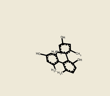 Cc1cc(O)cc(C)c1-c1c(C)ccc(O)c1-c1c(C)cc(O)cc1C